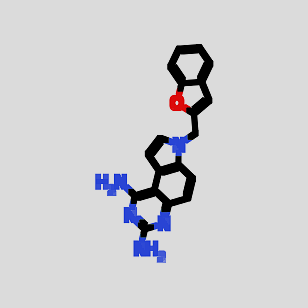 Nc1nc(N)c2c(ccc3c2ccn3Cc2cc3ccccc3o2)n1